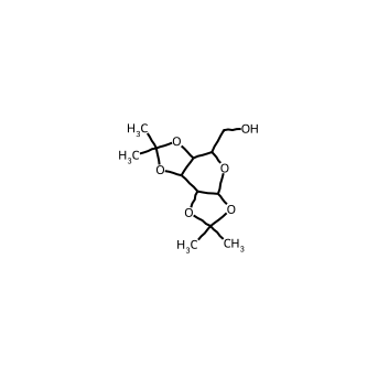 CC1(C)OC2OC(CO)C3OC(C)(C)OC3C2O1